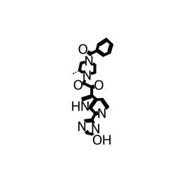 C[C@@H]1CN(C(=O)c2ccccc2)CCN1C(=O)C(=O)c1c[nH]c2c(-c3cncc(O)n3)nccc12